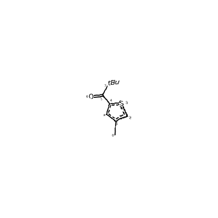 Cc1csc(C(=O)C(C)(C)C)c1